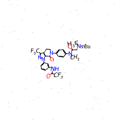 CCCCN(C)CC(=O)N(C)c1ccc(N2CCc3c(C(F)(F)F)nn(-c4cccc(NC(=O)C(F)(F)F)c4)c3C2=O)cc1